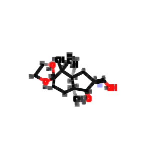 CC1(C)[C@H]2C/C(=C/O)C(=O)[C@@]2(C)CCC12OCCO2